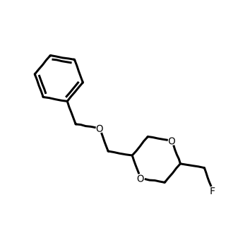 FCC1COC(COCc2ccccc2)CO1